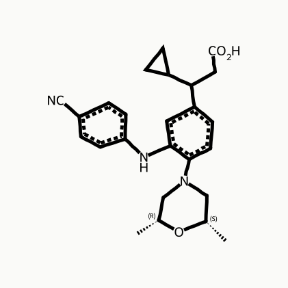 C[C@@H]1CN(c2ccc(C(CC(=O)O)C3CC3)cc2Nc2ccc(C#N)cc2)C[C@H](C)O1